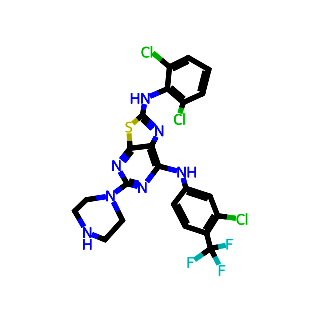 FC(F)(F)c1ccc(Nc2nc(N3CCNCC3)nc3sc(Nc4c(Cl)cccc4Cl)nc23)cc1Cl